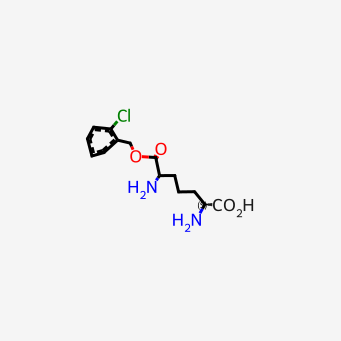 NC(CCC[C@H](N)C(=O)O)C(=O)OCc1ccccc1Cl